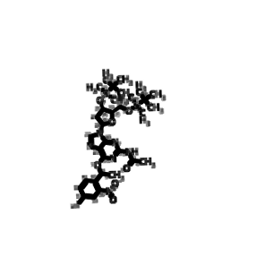 CC(=O)Nc1nc(OC(C)c2ccc(I)cc2[N+](=O)[O-])c2ncn([C@H]3C[C@@H](O[Si](C)(C)C(C)(C)C)[C@@H](CO[Si](C)(C)C(C)(C)C)O3)c2n1